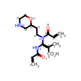 C=CC(=O)NC(=C(C)C(=O)O)N(CCC1CNCCO1)C(=O)C=C